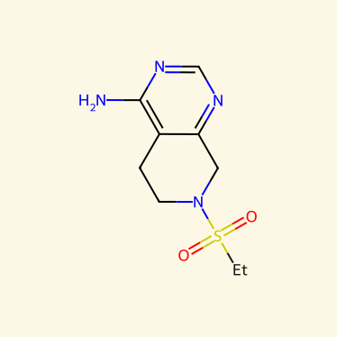 CCS(=O)(=O)N1CCc2c(N)ncnc2C1